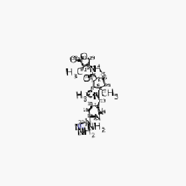 CC1=C(N2CC[C@]3(CC[C@](C)(N(C)Cc4ccc(N(N)/C=N\N)nn4)CC3)C2=O)COC1=O